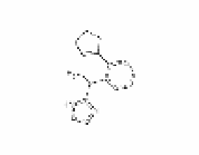 CC(c1ncc[nH]1)c1ccccc1C1=CCCC1